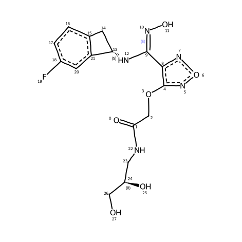 O=C(COc1nonc1/C(=N\O)N[C@H]1Cc2ccc(F)cc21)NC[C@@H](O)CO